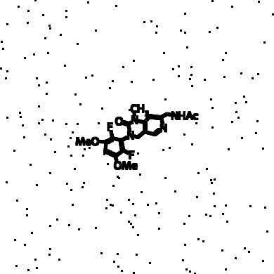 COc1cc(OC)c(F)c(N2Cc3cnc(CNC(C)=O)cc3N(C)C2=O)c1F